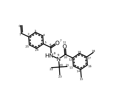 C=Cc1ccc(C(=O)NN(C(=O)c2cc(C)cc(C)c2)C(C)(C)C)cc1